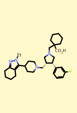 CCn1nc2c(c1C1CCN(C[C@@H]3CN(CC4(C(=O)O)CCCCC4)C[C@@H]3c3cccc(F)c3)CC1)CCCC2